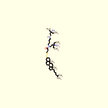 CCC(N)(CC)CCNCCCCN(CCC(N)(CC)CC)C(=O)CCSSC1CCC2(C)C(=CCC3C2CCC2(C)C(CCCCC(C)C)CCC32)C1